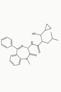 CC(C)CC(C(=O)NC1N=C(c2ccccc2)c2ccccc2N(C)C1=O)C(O)C1CC1